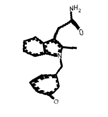 Cc1c(CC(N)=O)c2[c]cccc2n1Cc1cccc(Cl)c1